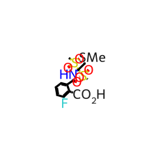 CSCC(NC(=O)c1cccc(F)c1C(=O)O)(S(C)(=O)=O)S(C)(=O)=O